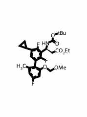 CCOC(=O)C[C@H](NC(=O)OC(C)(C)C)c1c(F)c(-c2c(C)cc(F)cc2OCOC)cc(C2CC2)c1F